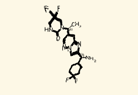 C[C@H](c1cnn2cc([C@@H](N)C3CCC(F)(F)CC3)nc2c1)N1CC(F)(F)CNC1=O